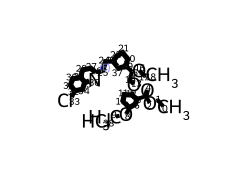 CCOC(=O)c1cc(OC)ccc1OCC(OCC)c1cccc(/C=C/c2ccc3ccc(Cl)cc3n2)c1.Cl